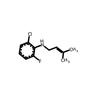 CC(C)=CCNc1c(F)cccc1Cl